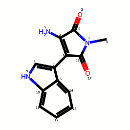 CN1C(=O)C(N)=C(c2c[nH]c3ccccc23)C1=O